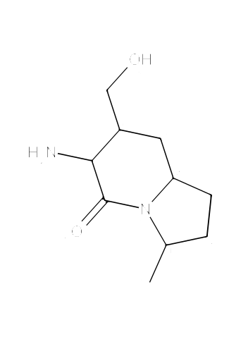 CC1CCC2CC(CO)C(N)C(=O)N12